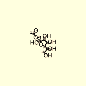 CC(=O)OO[C@@]1(O)O[C@H]([C@@H](O)CO)[C@H](O)[C@H]1O